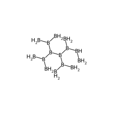 BBB(B)B(B(B)B)B(B(B)B)B(B)B